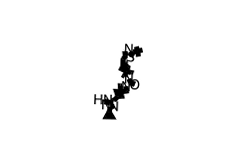 CC(C)(C)c1ncc(CN2CC3(C2)CN(C(=O)N2CC4(CC(c5nc(C6CC6)n[nH]5)C4)C2)C3)s1